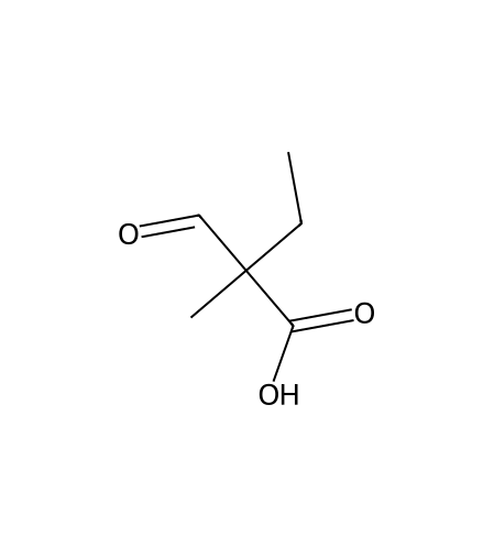 CCC(C)(C=O)C(=O)O